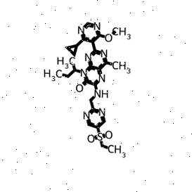 CCC(C)n1c(=O)c(NCc2ncc(S(=O)(=O)CC)cn2)nc2c(C)nc(-c3c(OC)ncnc3C3CC3)nc21